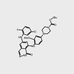 COc1cc(N2CCN(C(=O)OC(C)(C)C)CC2)ccc1Nc1nc(Nc2cc(Cl)ccc2F)cc2cn[nH]c(=O)c12